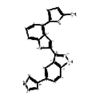 Cc1ccc(-c2cccc3[nH]c(-c4n[nH]c5ccc(-c6cn[nH]c6)cc45)cc23)s1